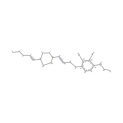 CCC/C=C/C1CCC(/C=C/CCc2ccc(OCC)c(F)c2F)CC1